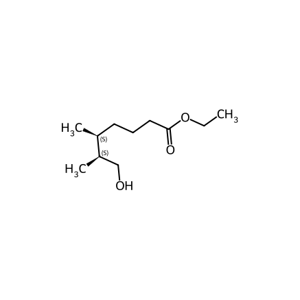 CCOC(=O)CCC[C@H](C)[C@H](C)CO